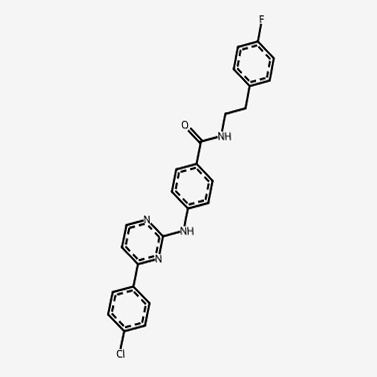 O=C(NCCc1ccc(F)cc1)c1ccc(Nc2nccc(-c3ccc(Cl)cc3)n2)cc1